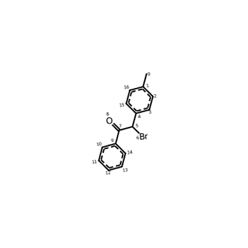 Cc1ccc(C(Br)C(=O)c2ccccc2)cc1